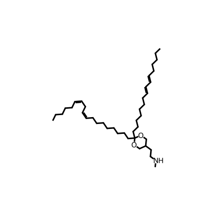 CCCCC/C=C\C/C=C\CCCCCCCCC1(CCCCCCC/C=C/C=C/CCCCC)OCC(CCNC)CO1